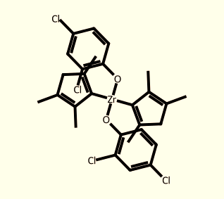 CC1=C(C)[C]([Zr]([O]c2ccc(Cl)cc2Cl)([O]c2ccc(Cl)cc2Cl)[C]2=C(C)CC(C)=C2C)=C(C)C1